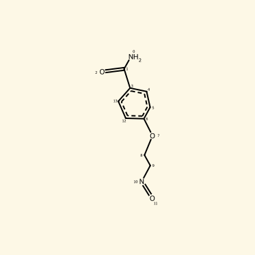 NC(=O)c1ccc(OCCN=O)cc1